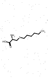 CCCCCCSC[C@H](N)C(=O)O